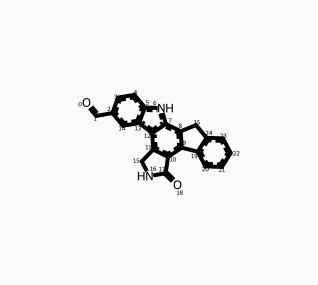 O=Cc1ccc2[nH]c3c4c(c5c(c3c2c1)CNC5=O)-c1ccccc1C4